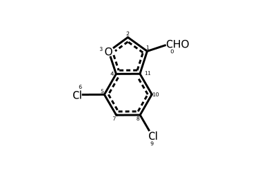 O=Cc1coc2c(Cl)cc(Cl)cc12